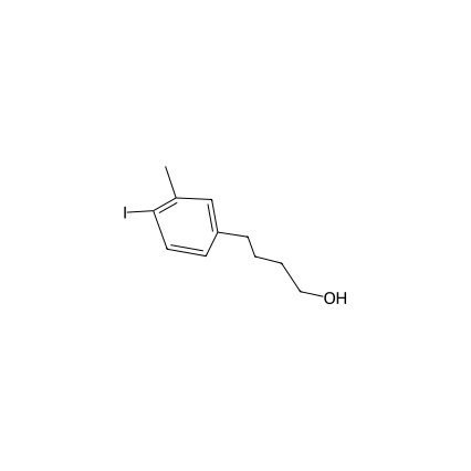 Cc1cc(CCCCO)ccc1I